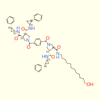 O=C(NCCCCCCCCCCCCO)[C@@H]1CN(C(=O)c2ccc(C(=O)N3C[C@@H](C(=O)N[C@H]4C[C@@H]4c4ccccc4)[C@H](C(=O)N[C@H]4C[C@@H]4c4ccccc4)C3)cc2)C[C@H]1C(=O)N[C@H]1C[C@@H]1c1ccccc1